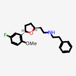 COc1ccc(F)cc1[C@@H]1CC[C@@H](CCNCCc2ccccc2)O1